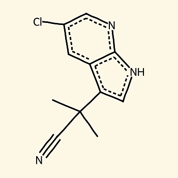 CC(C)(C#N)c1c[nH]c2ncc(Cl)cc12